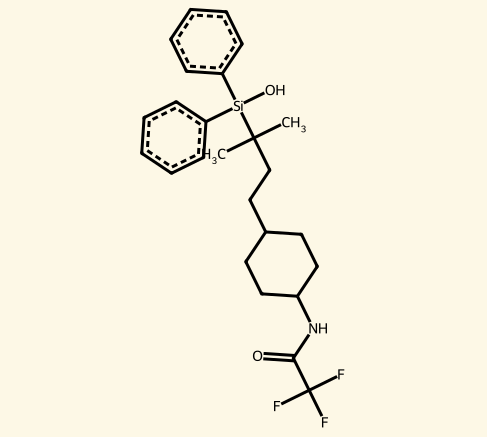 CC(C)(CCC1CCC(NC(=O)C(F)(F)F)CC1)[Si](O)(c1ccccc1)c1ccccc1